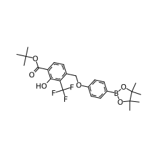 CC(C)(C)OC(=O)c1ccc(COc2ccc(B3OC(C)(C)C(C)(C)O3)cc2)c(C(F)(F)F)c1O